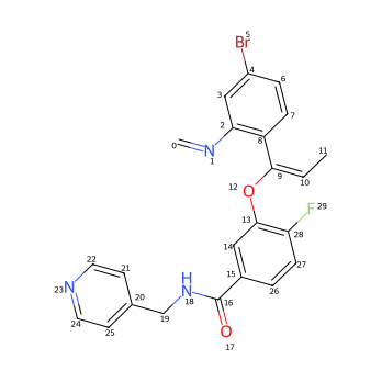 C=Nc1cc(Br)ccc1/C(=C\C)Oc1cc(C(=O)NCc2ccncc2)ccc1F